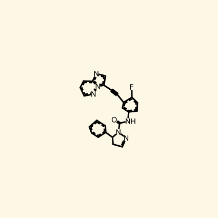 O=C(Nc1ccc(F)c(C#Cc2cnc3cccnn23)c1)N1N=CCC1c1ccccc1